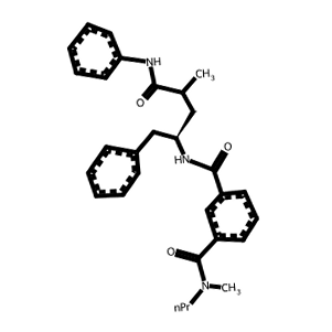 CCCN(C)C(=O)c1cccc(C(=O)N[C@H]([CH]C(C)C(=O)Nc2ccccc2)Cc2ccccc2)c1